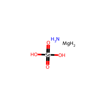 N.O=[Se](=O)(O)O.[MgH2]